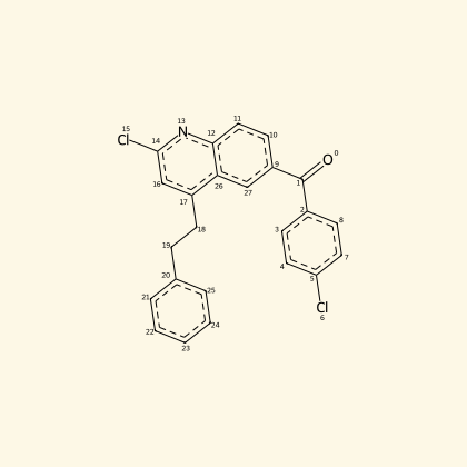 O=C(c1ccc(Cl)cc1)c1ccc2nc(Cl)cc(CCc3ccccc3)c2c1